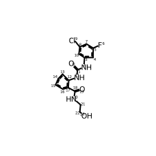 O=C(Nc1cc(F)cc(Cl)c1)Nc1ccccc1C(=O)NCCO